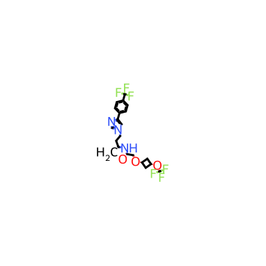 C=C(CCn1cnc(-c2ccc(C(F)(F)F)cc2)c1)NC(=O)CO[C@H]1C[C@@H](OC(F)(F)F)C1